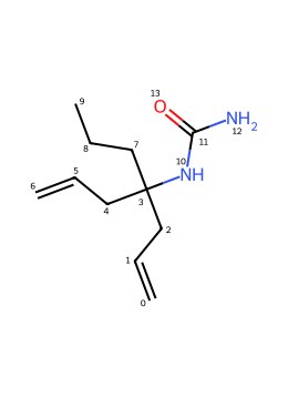 C=CCC(CC=C)(CCC)NC(N)=O